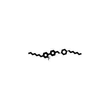 CCCCCCCc1ccc(-c2ccc(CC[C@H]3CC[C@H](CCCCCCC)CC3)cc2)c(F)c1